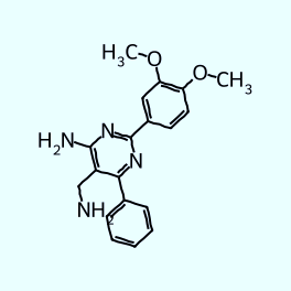 COc1ccc(-c2nc(N)c(CN)c(-c3ccccc3)n2)cc1OC